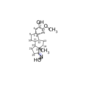 COc1cc2c(cc1O)CCC1C2CC[C@]2(C)/C(=N/O)CCC12